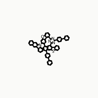 c1ccc(-c2ccc(-c3ccc(-c4cc5c(cc4-n4c6ccccc6c6cc7ccccc7cc64)oc4cccc(-c6nc(-c7ccc(-c8ccccc8)cc7)nc(-c7cccc8sc9ccccc9c78)n6)c45)cc3)cc2)cc1